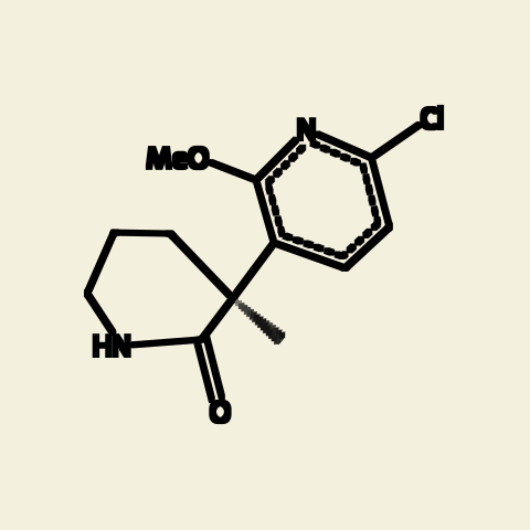 COc1nc(Cl)ccc1[C@]1(C)CCCNC1=O